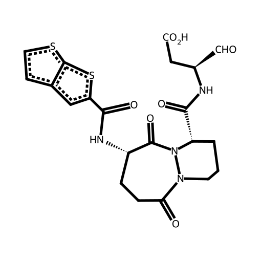 O=C[C@H](CC(=O)O)NC(=O)[C@@H]1CCCN2C(=O)CC[C@H](NC(=O)c3cc4ccsc4s3)C(=O)N12